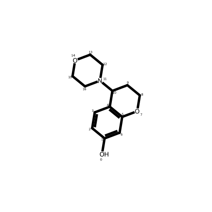 Oc1ccc2c(c1)OCCC2N1CCOCC1